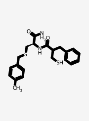 Cc1ccc(CSC[C@H](NC(=O)C(CS)Cc2ccccc2)C(N)=O)cc1